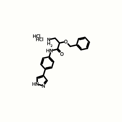 Cl.Cl.NCC(OCc1ccccc1)C(=O)Nc1ccc(-c2cn[nH]c2)cc1